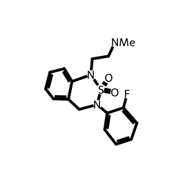 CNCCN1c2ccccc2CN(c2ccccc2F)S1(=O)=O